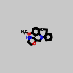 COc1ccc2c(c1)N(CC1CNCCO1)c1ccccc1CC2